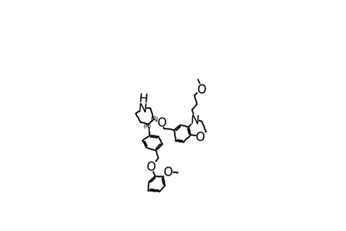 COCCCN1CCOc2ccc(CO[C@H]3CNCC[C@@H]3c3ccc(COc4ccccc4OC)cc3)cc21